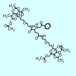 CC(=O)N[C@H]1C(OCCOCCNC(=O)C(CCC(=O)NCCOCCOC2O[C@H](COC(C)=O)[C@H](OC(C)=O)[C@H](OC(C)=O)[C@H]2C)NCC(=O)c2ccccc2)O[C@H](COC(C)=O)[C@H](C)[C@@H]1OC(C)=O